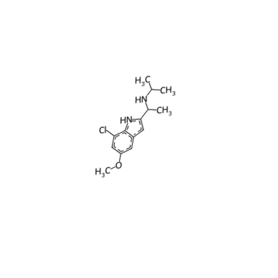 COc1cc(Cl)c2[nH]c(C(C)NC(C)C)cc2c1